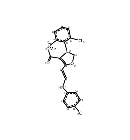 COC(=O)C1=C(/C=C/Nc2ccc(Cl)cc2)OCN1c1c(Cl)cccc1Cl